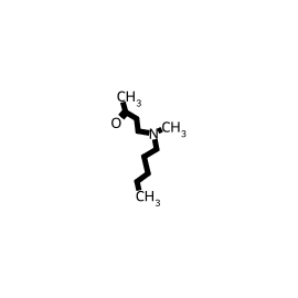 CCCCCN(C)CCC(C)=O